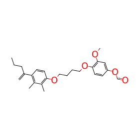 C=C(CCC)c1ccc(OCCCCOc2ccc(OC=O)cc2OC)c(C)c1C